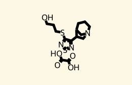 O=C(O)C(=O)O.OCCCSc1nsnc1C1CN2CCCC1C2